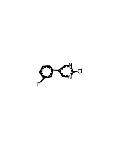 Fc1cccc(-c2cnc(Cl)nc2)c1